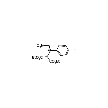 CCOC(=O)C(C(=O)OCC)[C@@H](C[N+](=O)[O-])c1ccc(C)cc1